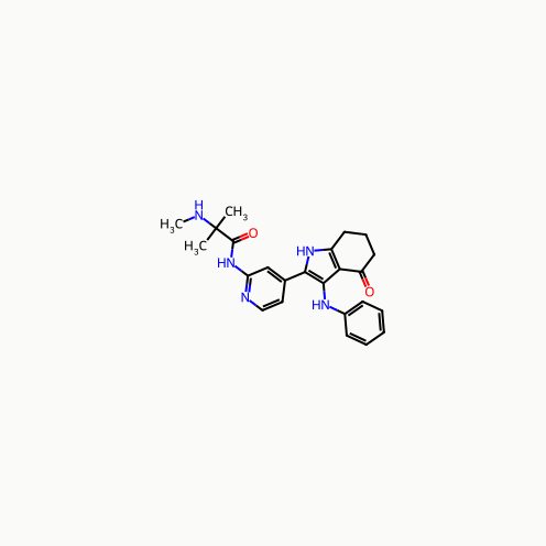 CNC(C)(C)C(=O)Nc1cc(-c2[nH]c3c(c2Nc2ccccc2)C(=O)CCC3)ccn1